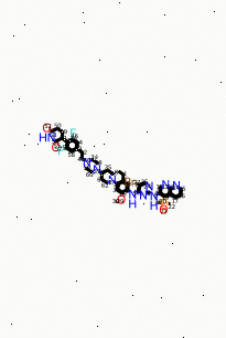 CCc1cc(Nc2nc(Nc3cnc4ncccc4c3P(C)(C)=O)ncc2Br)c(OC)cc1N1CCC(N2CCN(CCc3cc(F)c(C4CCC(=O)NC4=O)c(F)c3)CC2)CC1